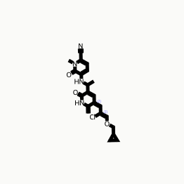 C=c1[nH]c(=O)c(C(C)Nc2ccc(C#N)n(C)c2=O)c/c1=C/C(Cl)=C/OCC1CC1